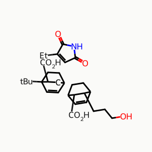 CC(C)(C)C12C=CC(CC1)CC2C(=O)O.CCC1=CC(=O)NC1=O.O=C(O)C1C2C=CC(CC2)C1CCCO